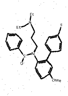 CCN(CC)CCCN(c1ccc(OC)cc1-c1ccc(F)cc1)[S+]([O-])c1ccccc1